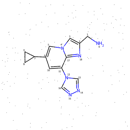 NCc1cn2cc(C3CC3)cc(-n3cnnc3)c2n1